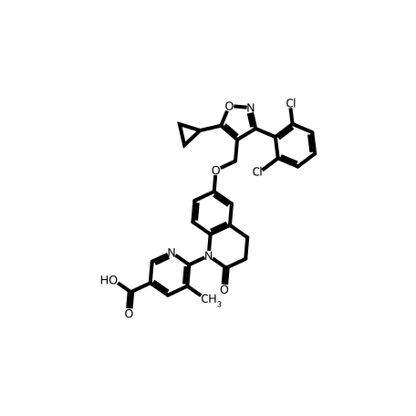 Cc1cc(C(=O)O)cnc1N1C(=O)CCc2cc(OCc3c(-c4c(Cl)cccc4Cl)noc3C3CC3)ccc21